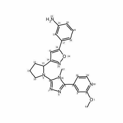 COc1cc(-c2nnc(N3CCCC3c3cc(-c4cccc(N)c4)on3)n2C)ccn1